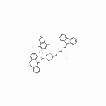 Cc1c(C)c(S(=O)(=O)N/C(=N\C2c3ccccc3CCc3ccccc32)N2CCC([C@H](NC(=O)OCC3c4ccccc4-c4ccccc43)C(=O)O)CC2)c(C)c2c1OC(C)(C)C2